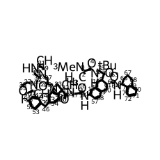 CN[C@@H](C)C(=O)N[C@H](C(=O)C1Cc2cc(NC(=O)CNC(=O)C3(C)CN(C(=O)CN4C[C@@H](C)NC[C@@H]4CN4CCOC[C@H]4C)c4cc(Cc5ccc(F)cc5)ccc43)ccc2C[C@H]1C(=O)N[C@@H]1CCCc2ccccc21)C(C)(C)C